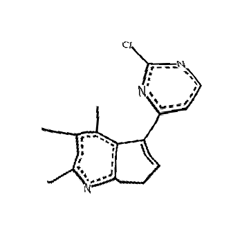 Cc1nc2c(c(C)c1C)C(c1ccnc(Cl)n1)=CC2